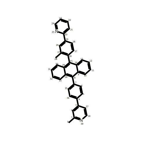 Cc1cc(-c2ccc(-c3c4ccccc4c(-c4ccc(-c5ccccn5)cc4C)c4ccccc34)cc2)ccn1